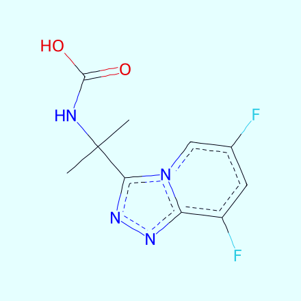 CC(C)(NC(=O)O)c1nnc2c(F)cc(F)cn12